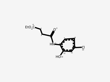 CCOC(=O)CCC(=O)Nc1ccc(Cl)cc1O